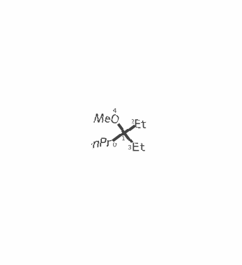 CC[CH]C(CC)(CC)OC